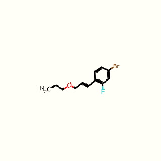 [CH2]CCOC/C=C/c1ccc(Br)cc1F